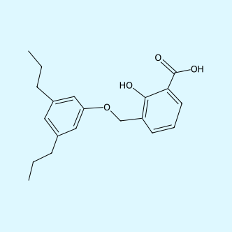 CCCc1cc(CCC)cc(OCc2cccc(C(=O)O)c2O)c1